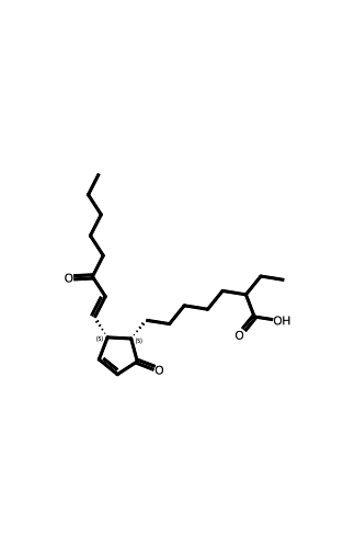 CCCCCC(=O)C=C[C@H]1C=CC(=O)[C@H]1CCCCCC(CC)C(=O)O